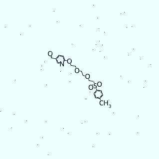 Cc1ccc(S(=O)(=O)CCOCCOCCOc2ccc(C=O)cn2)cc1